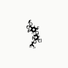 CCOC(=O)c1cc(F)c(Oc2cnc(OCC(C)C)c(Cl)c2)cc1F